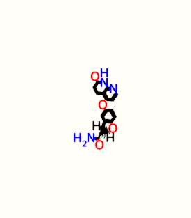 NC(=O)[C@@H]1[C@H]2Oc3ccc(Oc4ccnc5c4CCC(=O)N5)cc3[C@H]21